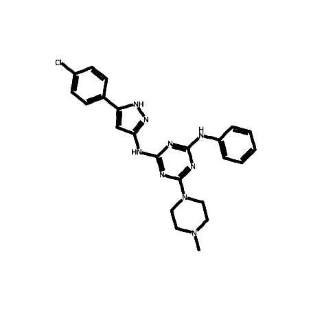 CN1CCN(c2nc(Nc3ccccc3)nc(Nc3cc(-c4ccc(Cl)cc4)[nH]n3)n2)CC1